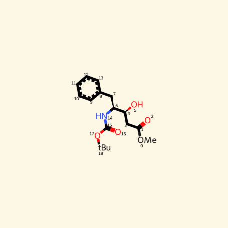 COC(=O)C[C@H](O)[C@H](Cc1ccccc1)NC(=O)OC(C)(C)C